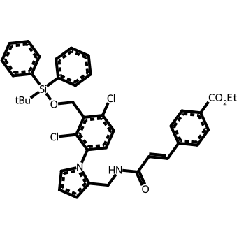 CCOC(=O)c1ccc(C=CC(=O)NCc2cccn2-c2ccc(Cl)c(CO[Si](c3ccccc3)(c3ccccc3)C(C)(C)C)c2Cl)cc1